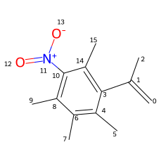 C=C(C)c1c(C)c(C)c(C)c([N+](=O)[O-])c1C